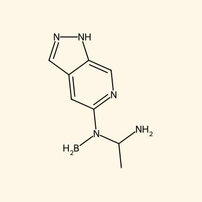 BN(c1cc2cn[nH]c2cn1)C(C)N